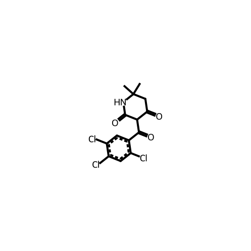 CC1(C)CC(=O)C(C(=O)c2cc(Cl)c(Cl)cc2Cl)C(=O)N1